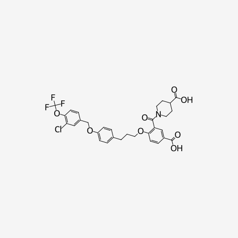 O=C(O)c1ccc(OCCCc2ccc(OCc3ccc(OC(F)(F)F)c(Cl)c3)cc2)c(C(=O)N2CCC(C(=O)O)CC2)c1